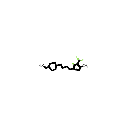 CCC1CCC(/C=C/CCc2ccc(C)c(C(F)F)c2F)CC1